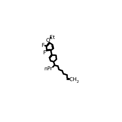 C=CCCCCCC(CCC)C1CC=C(c2ccc(OCC)c(F)c2F)CC1